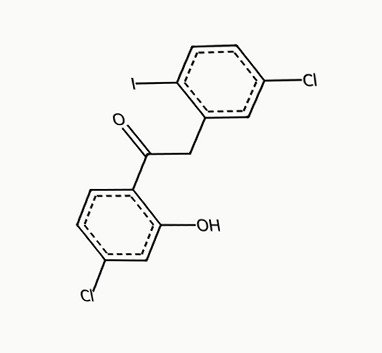 O=C(Cc1cc(Cl)ccc1I)c1ccc(Cl)cc1O